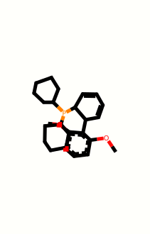 COc1cccc(OC)c1C1C=CC=CC1P(C1CCCCC1)C1CCCCC1